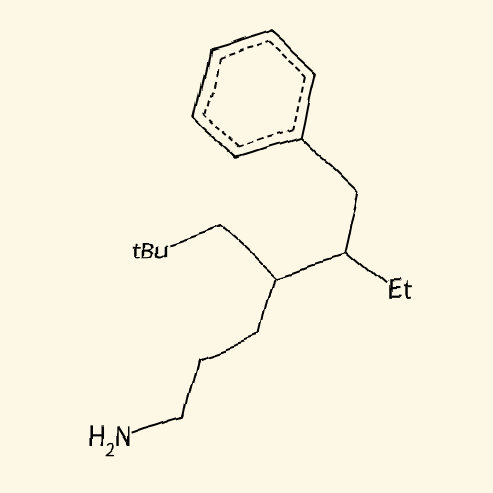 CCC(Cc1ccccc1)C(CCCN)CC(C)(C)C